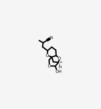 CC(C#N)CC1CCC2O[C@@H]3CC2(COC3O)O1